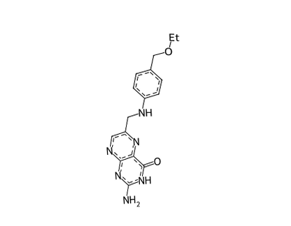 CCOCc1ccc(NCc2cnc3nc(N)[nH]c(=O)c3n2)cc1